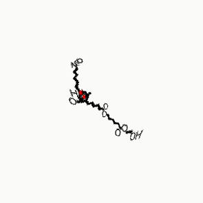 O=C=NCCCCCCC12CCC(CCCCCC(=O)OCCCCCC(=O)OCCO)(CC1)OC(=O)N2